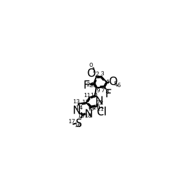 COc1cc(OC)c(F)c(-c2cc3cnc(SC)nc3c(Cl)n2)c1F